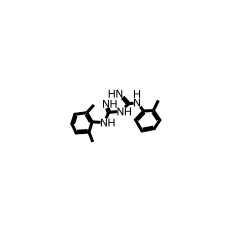 Cc1ccccc1NC(=N)NC(=N)Nc1c(C)cccc1C